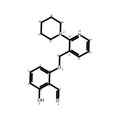 O=Cc1c(O)cccc1OCc1cccnc1N1CCCCC1